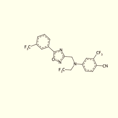 N#Cc1ccc(N(Cc2noc(-c3cccc(C(F)(F)F)c3)n2)CC(F)(F)F)cc1C(F)(F)F